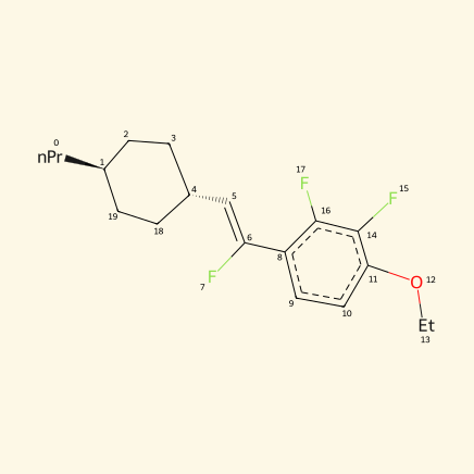 CCC[C@H]1CC[C@H](C=C(F)c2ccc(OCC)c(F)c2F)CC1